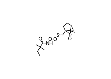 CCC(C)(C)C(=O)NOOSCC12CCC(CC1=O)C2(C)C